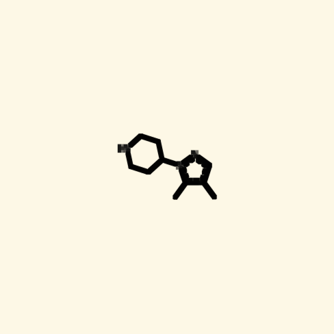 Cc1cnn(C2CCNCC2)c1C